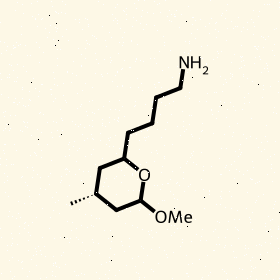 COC1C[C@H](C)CC(CCCCN)O1